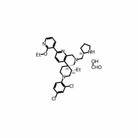 CCOc1ncccc1-c1ccc2c(n1)CN(C[C@H]1CCCN1)C[C@]21CCN(c2ccc(Cl)cc2Cl)C[C@H]1CC.O=CO